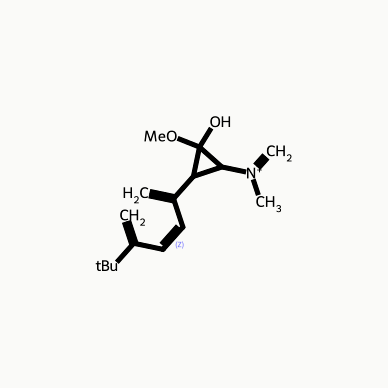 C=C(/C=C\C(=C)C(C)(C)C)C1C([N+](=C)C)C1(O)OC